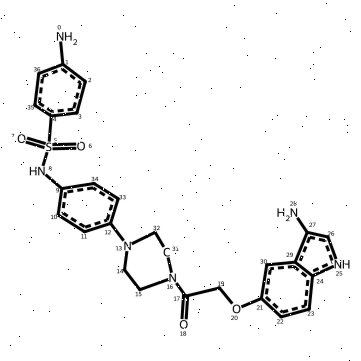 Nc1ccc(S(=O)(=O)Nc2ccc(N3CCN(C(=O)COc4ccc5[nH]cc(N)c5c4)CC3)cc2)cc1